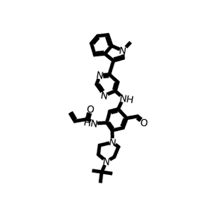 C=CC(=O)Nc1cc(Nc2cc(-c3cn(C)c4ccccc34)ncn2)c(C=O)cc1N1CCN(C(C)(C)C)CC1